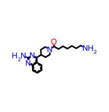 NCCCCCCC(=O)N1CCC(c2nc(N)nc3ccccc23)CC1